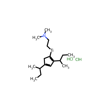 CCC(C)C1=CC(C(C)CC)=[C]([Ti][CH2]CN(C)C)C1.Cl.Cl